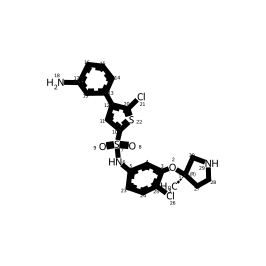 C[C@@]1(Oc2cc(NS(=O)(=O)c3cc(-c4cccc(N)c4)c(Cl)s3)ccc2Cl)CCNC1